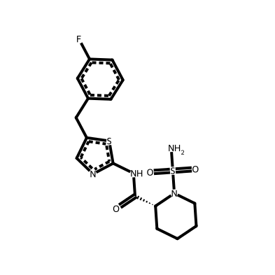 NS(=O)(=O)N1CCCC[C@@H]1C(=O)Nc1ncc(Cc2cccc(F)c2)s1